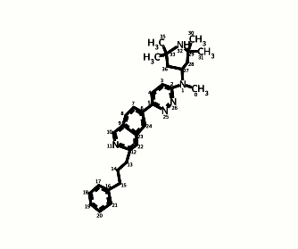 CN(c1ccc(-c2ccc3cnc(CCCc4ccccc4)cc3c2)nn1)C1CC(C)(C)NC(C)(C)C1